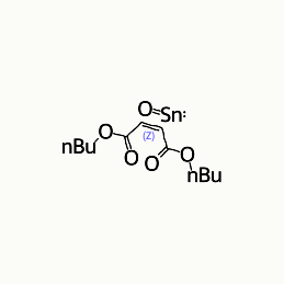 CCCCOC(=O)/C=C\C(=O)OCCCC.[O]=[Sn]